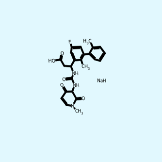 Cc1ccccc1-c1cc(F)cc(C(CC(=O)O)NC(=O)NC2C(=O)C=CN(C)C2=O)c1C.[NaH]